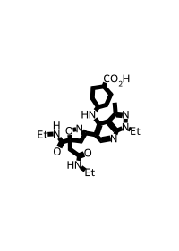 CCNC(=O)CC1(C(=O)NCC)CC(c2cnc3c(c(C)nn3CC)c2NC2CCC(C(=O)O)CC2)=NO1